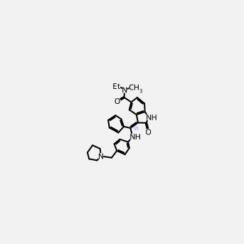 CCN(C)C(=O)c1ccc2c(c1)/C(=C(/Nc1ccc(CN3CCCCC3)cc1)c1ccccc1)C(=O)N2